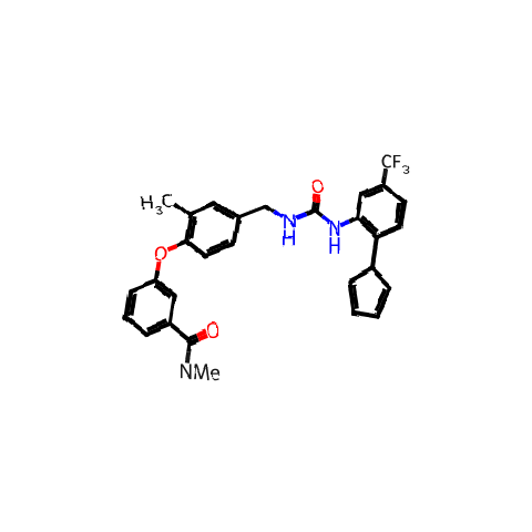 CNC(=O)c1cccc(Oc2ccc(CNC(=O)Nc3cc(C(F)(F)F)ccc3C3C=CC=C3)cc2C)c1